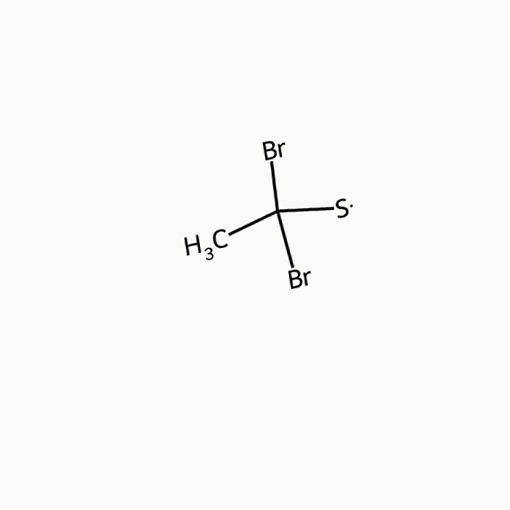 CC([S])(Br)Br